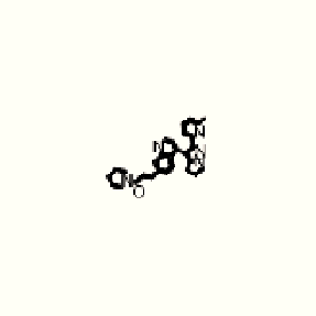 Cc1cccc(-c2nn3c(c2-c2ccnc4cc(C=CC(=O)N5CCCCC5)ccc24)CCC3)n1